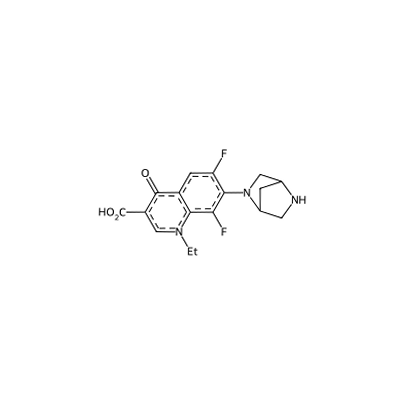 CCn1cc(C(=O)O)c(=O)c2cc(F)c(N3CC4CC3CN4)c(F)c21